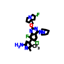 Cc1nc(N)cc(-c2c(Cl)cc3c(N4CC5CCC(C4)N5)nc(OC[C@@]45CCCN4C[C@H](F)C5)nc3c2F)c1C(F)(F)F